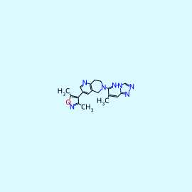 Cc1cc2nncn2nc1N1CCc2ncc(-c3c(C)noc3C)cc2C1